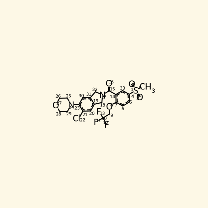 CS(=O)(=O)c1ccc(OCC(F)(F)F)c(C(=O)N2Cc3cc(Cl)c(N4CCOCC4)cc3C2)c1